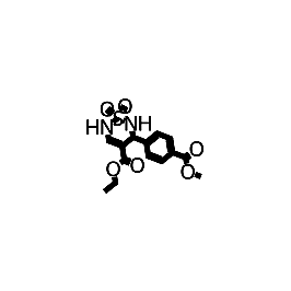 CCOC(=O)C1=CNS(=O)(=O)NC1c1ccc(C(=O)OC)cc1